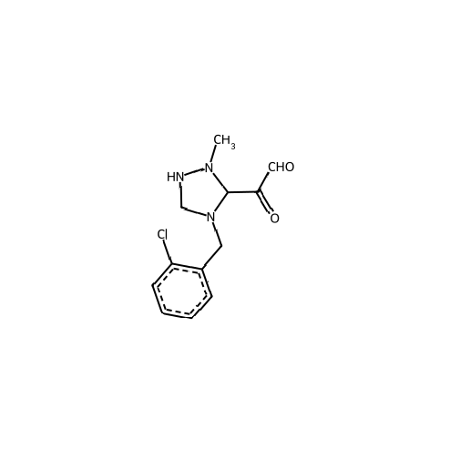 CN1NCN(Cc2ccccc2Cl)C1C(=O)C=O